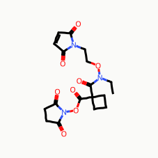 CCN(OCCN1C(=O)C=CC1=O)C(=O)C1(C(=O)ON2C(=O)CCC2=O)CCC1